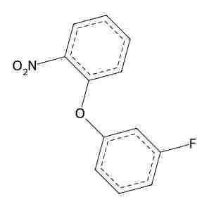 O=[N+]([O-])c1ccccc1Oc1cccc(F)c1